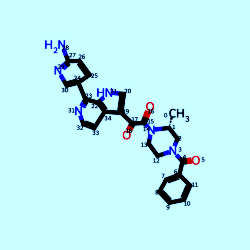 C[C@@H]1CN(C(=O)c2ccccc2)CCN1C(=O)C(=O)c1c[nH]c2c(-c3ccc(N)nc3)nccc12